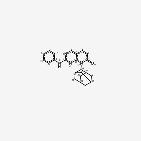 O=c1ccc2cnc(Nc3ccccc3)nc2n1C1C2CC3CC(C2)CC1C3